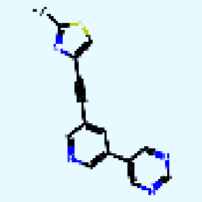 Cc1nc(C#Cc2cncc(-c3cncnc3)c2)cs1